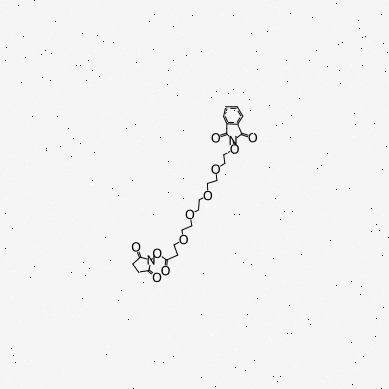 O=C(CCOCCOCCOCCOCCON1C(=O)c2ccccc2C1=O)ON1C(=O)CCC1=O